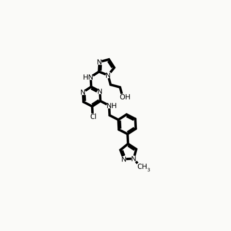 Cn1cc(-c2cccc(CNc3nc(Nc4nccn4CCO)ncc3Cl)c2)cn1